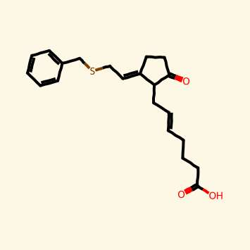 O=C(O)CCCC=CCC1C(=O)CCC1=CCSCc1ccccc1